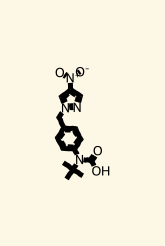 CC(C)(C)N(C(=O)O)c1ccc(Cn2cc([N+](=O)[O-])cn2)cc1